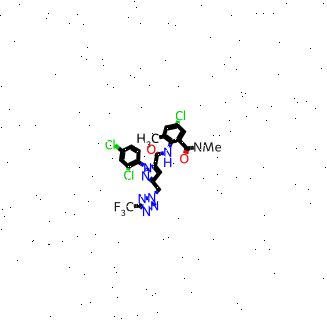 CNC(=O)c1cc(Cl)cc(C)c1NC(=O)c1cc(Cn2nnc(C(F)(F)F)n2)nn1-c1ccc(Cl)cc1Cl